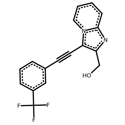 OCc1nc2ccccn2c1C#Cc1cccc(C(F)(F)F)c1